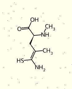 CN[C@@H](C/C(C)=C(/N)S)C(=O)O